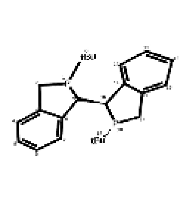 CC(C)(C)P1Cc2ccccc2C1[C@H]1c2ccccc2C[P@]1C(C)(C)C